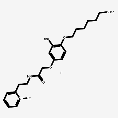 CCCCCCCCCCCCCCCCOc1ccc(OCC(=O)NCCc2cccc[n+]2CC)cc1C(C)(C)C.[I-]